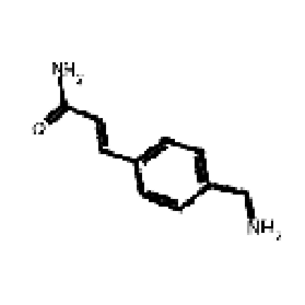 NCc1ccc(C=CC(N)=O)cc1